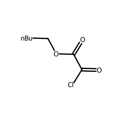 CCCCCOC(=O)C(=O)Cl